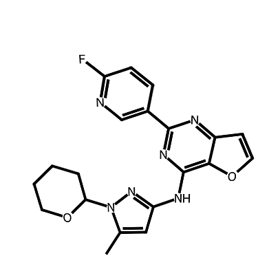 Cc1cc(Nc2nc(-c3ccc(F)nc3)nc3ccoc23)nn1C1CCCCO1